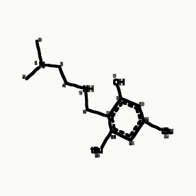 CN(C)CCNCc1c(O)cc(C(C)(C)C)cc1C(C)(C)C